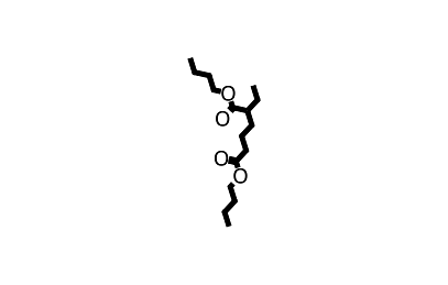 CCCCOC(=O)CCCC(CC)C(=O)OCCCC